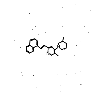 Cc1cnc(C=Cc2cccc3ccccc23)cc1N1CCCC(C)C1